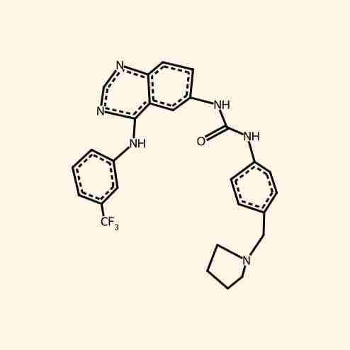 O=C(Nc1ccc(CN2CCCC2)cc1)Nc1ccc2ncnc(Nc3cccc(C(F)(F)F)c3)c2c1